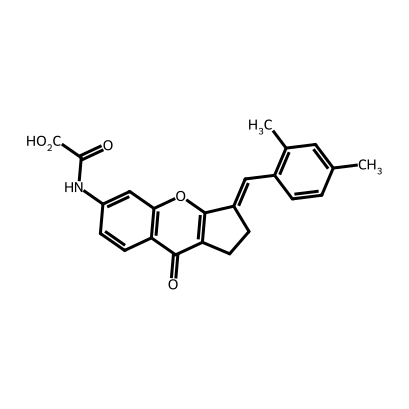 Cc1ccc(C=C2CCc3c2oc2cc(NC(=O)C(=O)O)ccc2c3=O)c(C)c1